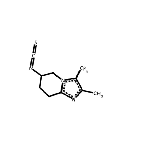 Cc1nc2n(c1C(F)(F)F)CC(N=C=S)CC2